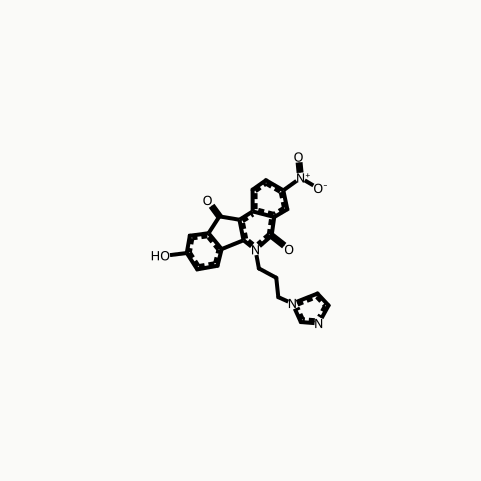 O=C1c2cc(O)ccc2-c2c1c1ccc([N+](=O)[O-])cc1c(=O)n2CCCn1ccnc1